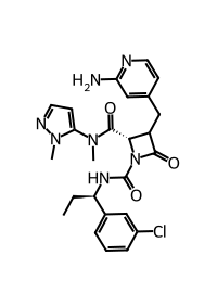 CC[C@@H](NC(=O)N1C(=O)C(Cc2ccnc(N)c2)[C@H]1C(=O)N(C)c1ccnn1C)c1cccc(Cl)c1